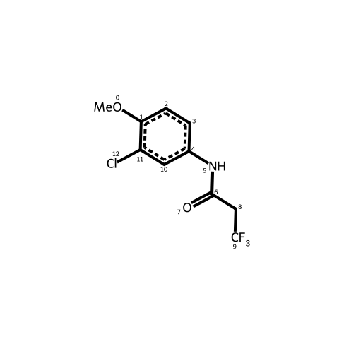 COc1ccc(NC(=O)CC(F)(F)F)cc1Cl